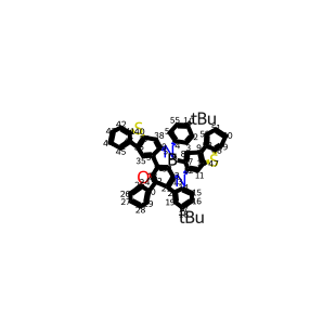 CC(C)(C)c1ccc(N2B3c4cc5c(cc4-n4c6ccc(C(C)(C)C)cc6c6c7c(oc8ccccc87)c(c3c64)-c3cc4c(cc32)sc2ccccc24)sc2ccccc25)cc1